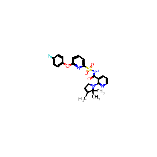 CC1CCN(c2ncccc2C(=O)NS(=O)(=O)c2cccc(Oc3ccc(F)cc3)n2)C1(C)C